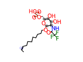 C/C=C\CCCCCCCCO[C@H]1O[C@H](COS(=O)(=O)O)[C@@H](O)[C@H](O)[C@H]1NC(=O)C(F)(F)F